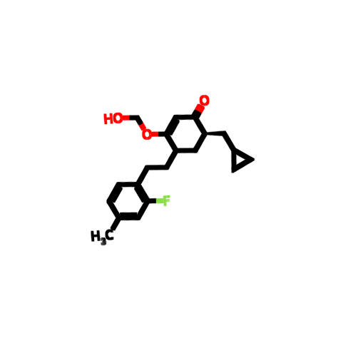 Cc1ccc(CCC2C[C@H](CC3CC3)C(=O)C=C2OCO)c(F)c1